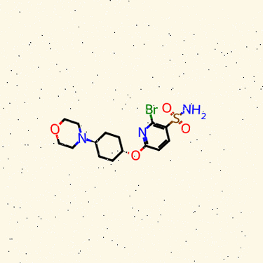 NS(=O)(=O)c1ccc(O[C@H]2CC[C@H](N3CCOCC3)CC2)nc1Br